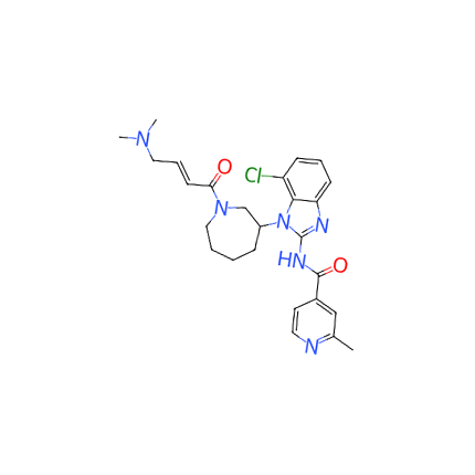 Cc1cc(C(=O)Nc2nc3cccc(Cl)c3n2C2CCCCN(C(=O)C=CCN(C)C)C2)ccn1